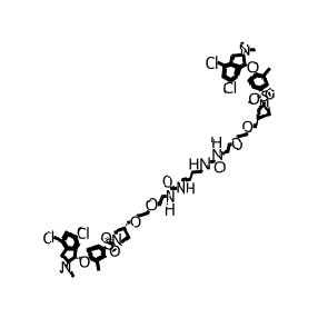 Cc1cc(S(=O)(=O)N2CC[C@@H](COCCOCCNC(=O)NCCCCNC(=O)NCCOCCOC[C@@H]3CCN(S(=O)(=O)c4ccc(O[C@H]5c6cc(Cl)cc(Cl)c6C[C@@H]5N(C)C)c(C)c4)C3)C2)ccc1O[C@H]1c2cc(Cl)cc(Cl)c2C[C@@H]1N(C)C